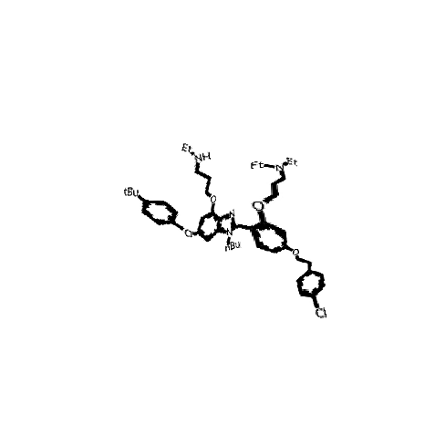 CCCCn1c(-c2ccc(OCCc3ccc(Cl)cc3)cc2OCCCN(CC)CC)nc2c(OCCCNCC)cc(Oc3ccc(C(C)(C)C)cc3)cc21